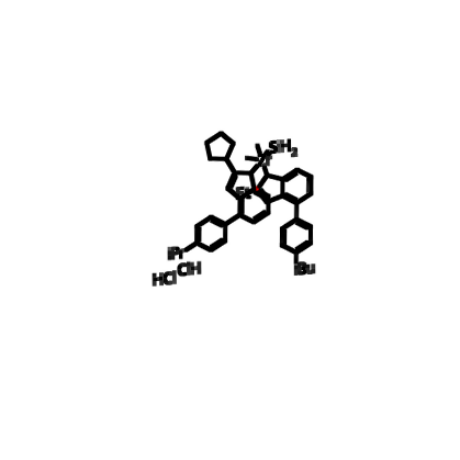 CCC1=Cc2c(-c3ccc(C(C)CC)cc3)cccc2[CH]1[Zr]([CH3])([CH3])(=[SiH2])[CH]1C(C2CCCC2)=Cc2c(-c3ccc(C(C)C)cc3)cccc21.Cl.Cl